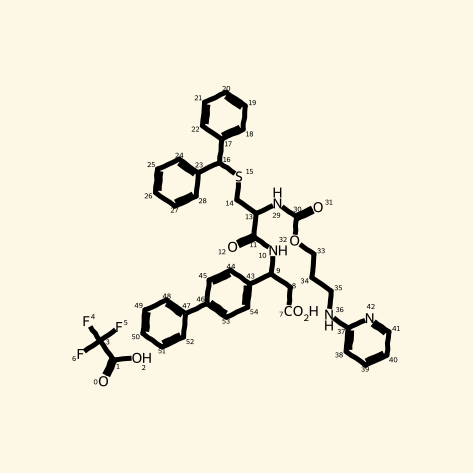 O=C(O)C(F)(F)F.O=C(O)CC(NC(=O)C(CSC(c1ccccc1)c1ccccc1)NC(=O)OCCCNc1ccccn1)c1ccc(-c2ccccc2)cc1